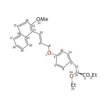 CCOC(=O)[C@H](Cc1ccc(OCC=Cc2c(OC)ccc3ccccc23)cc1)OCC